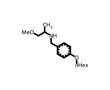 CCCCCCOc1ccc(CNC(C)COC)cc1